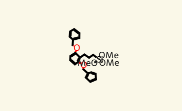 CO[Si](CCCc1c(OCc2ccccc2)cccc1OCc1ccccc1)(OC)OC